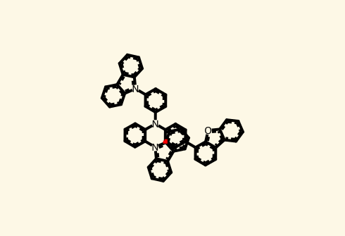 c1cc(N(c2ccc(-c3cccc4c3oc3ccccc34)cc2)c2ccccc2-n2c3ccccc3c3ccccc32)cc(-n2c3ccccc3c3ccccc32)c1